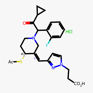 CC(=O)S[C@@H]1CCN(C(C(=O)C2CC2)c2ccccc2F)C/C1=C\c1ccn(CCC(=O)O)n1.Cl